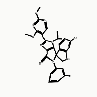 COc1ncc(-c2nc3c(n2C(C)C)C2(CNc4cc(Cl)ccc42)N(c2cccc(C)c2)C3=O)c(OC)n1